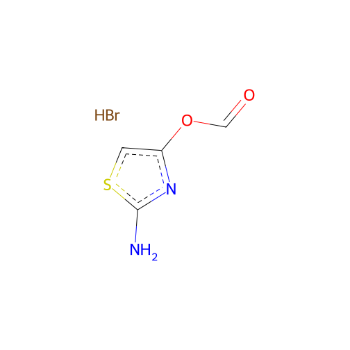 Br.Nc1nc(OC=O)cs1